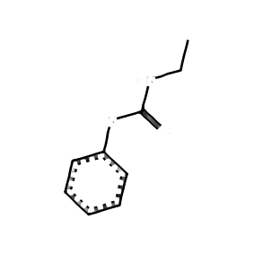 CCNC(=O)[N]c1ccccc1